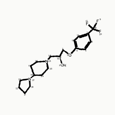 O[C@H](COc1ccc(C(F)(F)F)cc1)CN1CCC(N2CCCC2)CC1